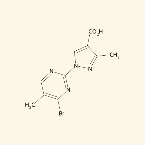 Cc1cnc(-n2cc(C(=O)O)c(C)n2)nc1Br